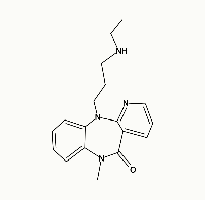 CCNCCCN1c2ccccc2N(C)C(=O)c2cccnc21